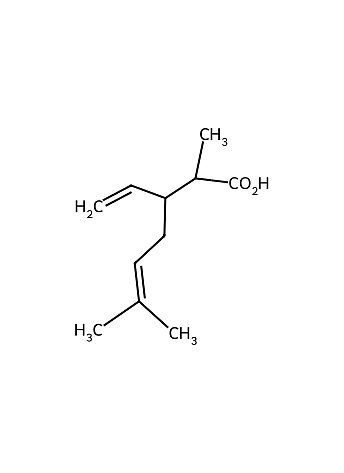 C=CC(CC=C(C)C)C(C)C(=O)O